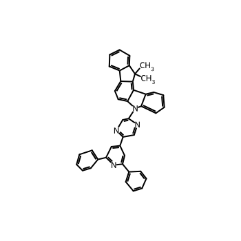 CC1(C)c2ccccc2-c2ccc3c(c21)c1ccccc1n3-c1cnc(-c2cc(-c3ccccc3)nc(-c3ccccc3)c2)cn1